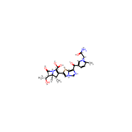 Cc1ccc(C(=O)c2ncn3cc(C4=C(C(=O)[O-])N5C(=O)[C@H]([C@@H](C)O)[C@H]5[C@H]4C)sc23)c[n+]1CC(N)=O